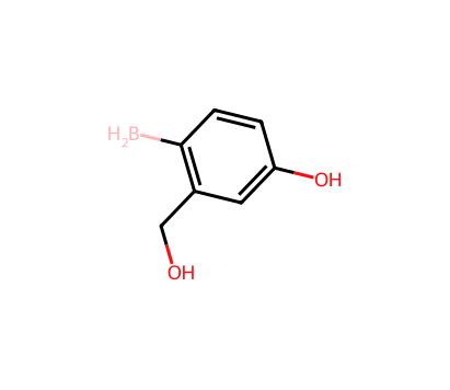 Bc1ccc(O)cc1CO